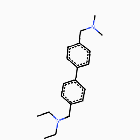 CCN(CC)Cc1ccc(-c2ccc(CN(C)C)cc2)cc1